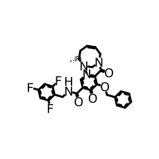 C[C@@H]1CC=CCN2CN1n1cc(C(=O)NCc3c(F)cc(F)cc3F)c(=O)c(OCc3ccccc3)c1C2=O